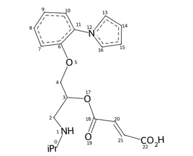 CC(C)NCC(COc1ccccc1-n1cccc1)OC(=O)/C=C/C(=O)O